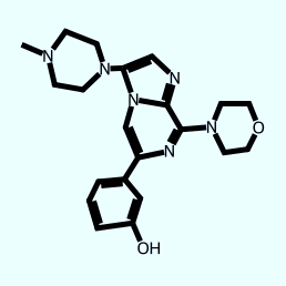 CN1CCN(c2cnc3c(N4CCOCC4)nc(-c4cccc(O)c4)cn23)CC1